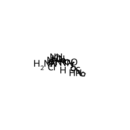 Nc1nc(N)c(C(=O)/N=C2\NCC3(CCN(C(=O)c4cccc(SNC5CCCC5)c4)CC3)N2)nc1Cl